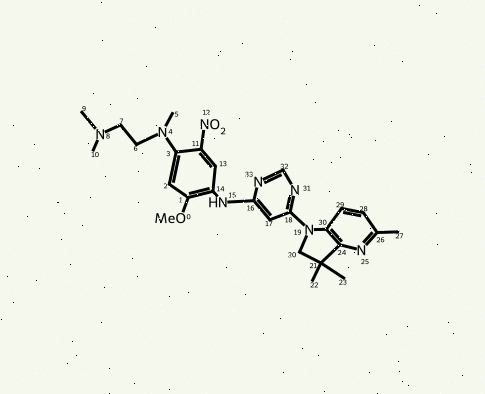 COc1cc(N(C)CCN(C)C)c([N+](=O)[O-])cc1Nc1cc(N2CC(C)(C)c3nc(C)ccc32)ncn1